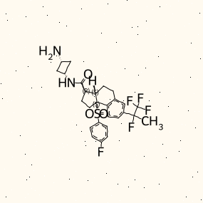 CC(F)(c1ccc2c(c1)CC[C@H]1[C@H](C(=O)N[C@H]3C[C@@H](N)C3)CC[C@@]21S(=O)(=O)c1ccc(F)cc1)C(F)(F)F